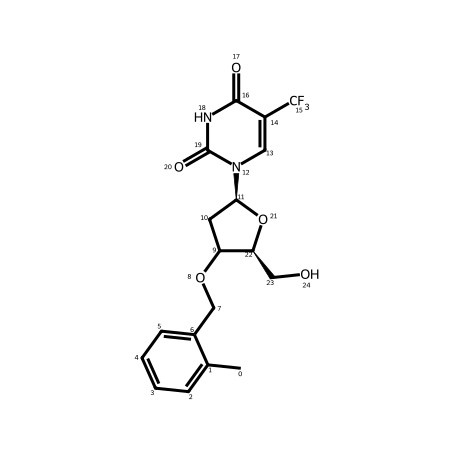 Cc1ccccc1COC1C[C@@H](n2cc(C(F)(F)F)c(=O)[nH]c2=O)O[C@H]1CO